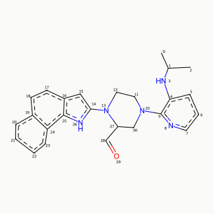 CC(C)Nc1cccnc1N1CCN(c2cc3ccc4ccccc4c3[nH]2)C(C=O)C1